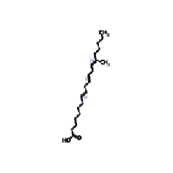 CCCCC/C(C)=C/C/C=C/C/C=C/CCCCCCC(=O)O